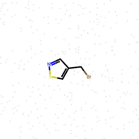 BrCc1cnsc1